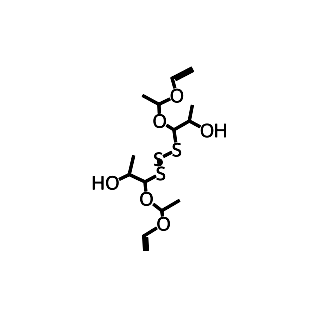 C=COC(C)OC(SSSC(OC(C)OC=C)C(C)O)C(C)O